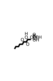 CCCCCC(=O)C(=O)C(O)COP(=O)(O)O